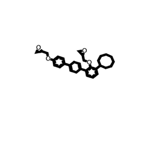 C1=C(c2ccc(OCC3CO3)cc2)CC=C(c2cccc(C3CCCCCCC3)c2OCC2CO2)C1